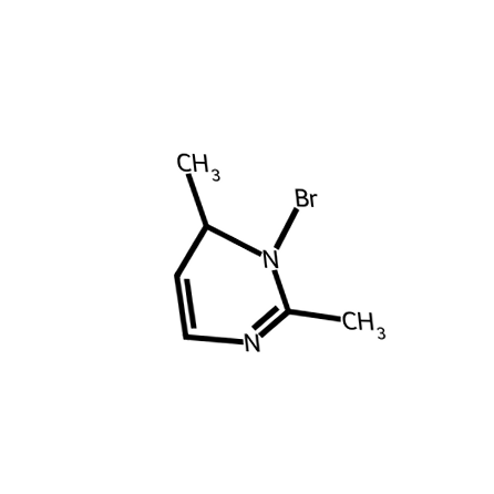 CC1=NC=CC(C)N1Br